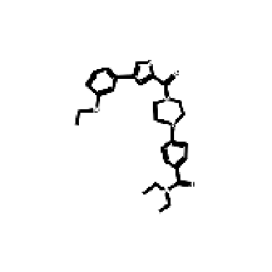 CCOc1cccc(-c2csc(C(=O)N3CCN(c4ccc(C(=O)N(CC)CC)cc4)CC3)c2)c1